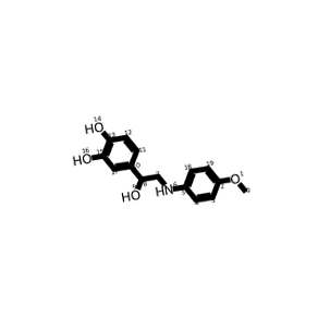 COc1ccc(NCC(O)c2ccc(O)c(O)c2)cc1